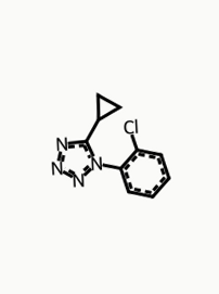 Clc1ccccc1-n1nnnc1C1CC1